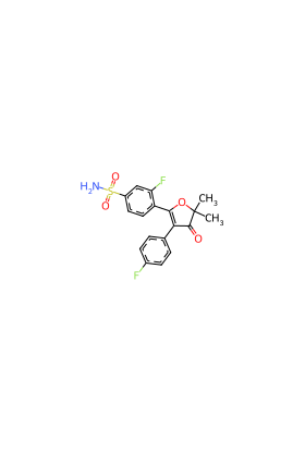 CC1(C)OC(c2ccc(S(N)(=O)=O)cc2F)=C(c2ccc(F)cc2)C1=O